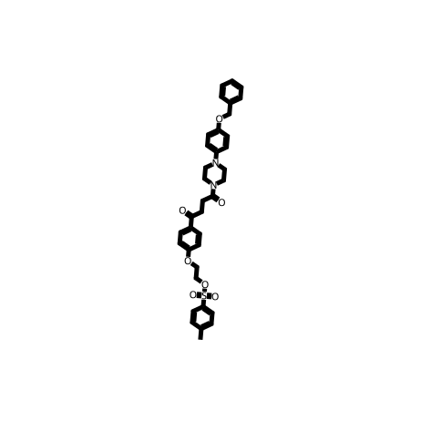 Cc1ccc(S(=O)(=O)OCCOc2ccc(C(=O)CCC(=O)N3CCN(c4ccc(OCc5ccccc5)cc4)CC3)cc2)cc1